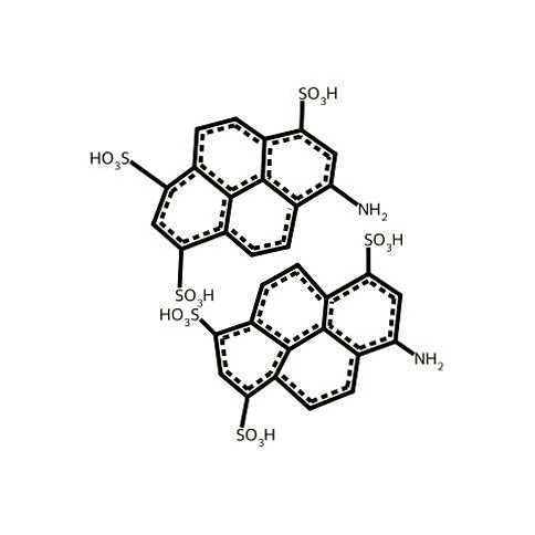 Nc1cc(S(=O)(=O)O)c2ccc3c(S(=O)(=O)O)cc(S(=O)(=O)O)c4ccc1c2c43.Nc1cc(S(=O)(=O)O)c2ccc3c(S(=O)(=O)O)cc(S(=O)(=O)O)c4ccc1c2c43